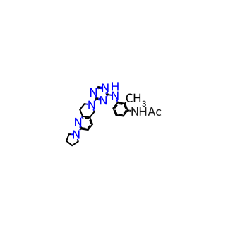 CC(=O)Nc1cccc(Nc2ncnc(N3CCc4nc(N5CCCC5)ccc4C3)n2)c1C